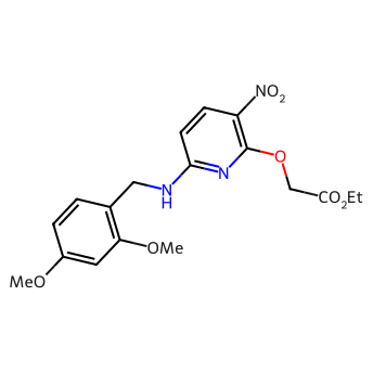 CCOC(=O)COc1nc(NCc2ccc(OC)cc2OC)ccc1[N+](=O)[O-]